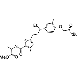 CCC(CCc1cc(C)c(C(=O)N(C)C(C)C(=O)OC)s1)c1ccc(OCC(=O)C(C)(C)C)c(C)c1